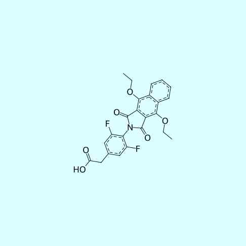 CCOc1c2c(c(OCC)c3ccccc13)C(=O)N(c1c(F)cc(CC(=O)O)cc1F)C2=O